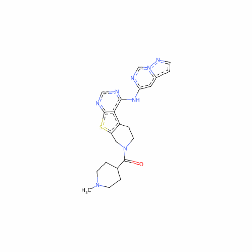 CN1CCC(C(=O)N2CCc3c(sc4ncnc(Nc5cc6ccnn6cn5)c34)C2)CC1